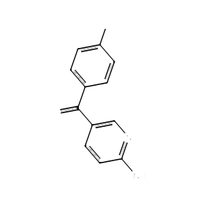 Nc1ccc(C(=O)c2ccc(Cl)cc2)cn1